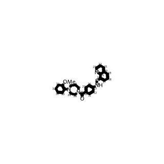 COC1=C(N2CCCN(C(=O)c3ccc(NSc4cccc5cccnc45)cc3)CC2)C=CCC1